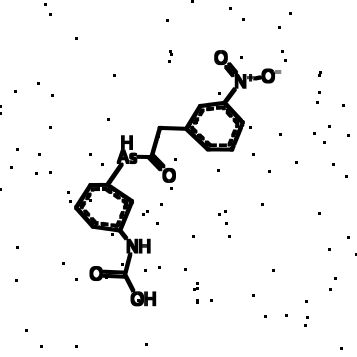 O=C(O)Nc1cccc([AsH]C(=O)Cc2cccc([N+](=O)[O-])c2)c1